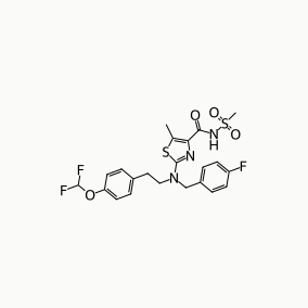 Cc1sc(N(CCc2ccc(OC(F)F)cc2)Cc2ccc(F)cc2)nc1C(=O)NS(C)(=O)=O